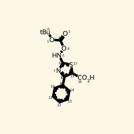 CC(C)(C)OC(=O)ONc1nc(-c2ccccc2)c(C(=O)O)s1